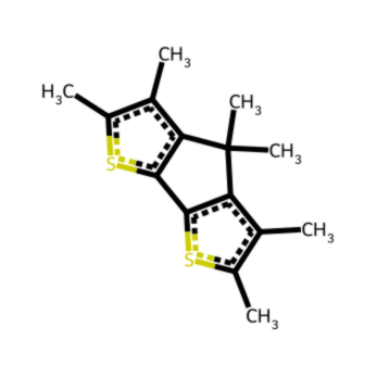 Cc1sc2c(c1C)C(C)(C)c1c-2sc(C)c1C